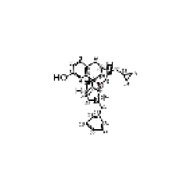 Oc1ccc2c(c1)[C@]13CCN(CC4CC4)[C@H](C2)[C@]12CC[C@@H]1[C@H]3[C@@H](CN1Cc1ccccc1)C2